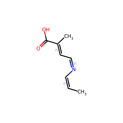 C\C=C/N=C\C=C(/C)C(=O)O